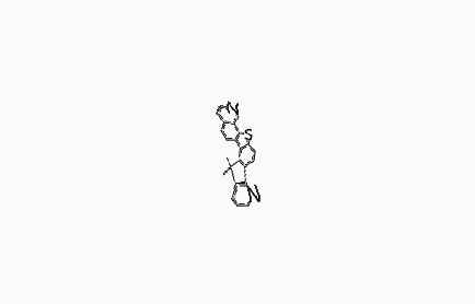 CC1(C)c2cccnc2-c2ccc3sc4c5cnccc5ccc4c3c21